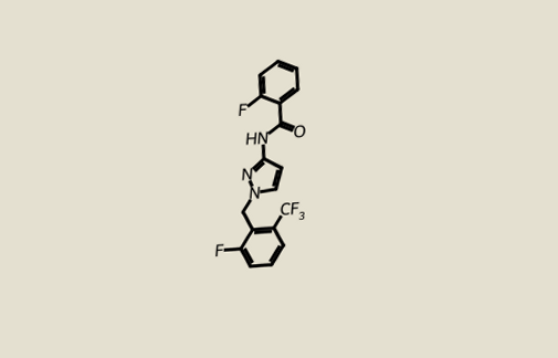 O=C(Nc1ccn(Cc2c(F)cccc2C(F)(F)F)n1)c1ccccc1F